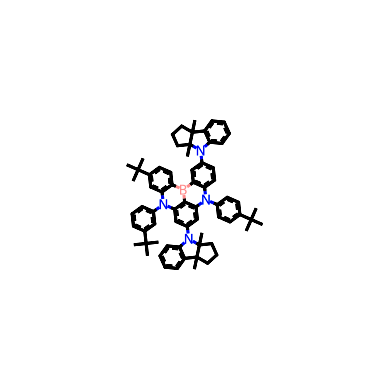 CC(C)(C)c1ccc(N2c3ccc(N4c5ccccc5C5(C)CCCC45C)cc3B3c4ccc(C(C)(C)C)cc4N(c4cccc(C(C)(C)C)c4)c4cc(N5c6ccccc6C6(C)CCCC56C)cc2c43)cc1